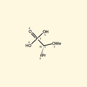 CCC[C@@H](OC)P(=O)(O)O